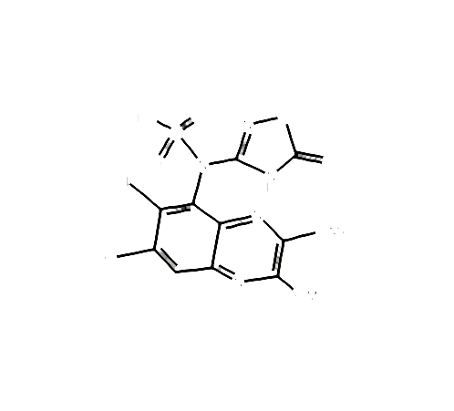 COc1nc2cc(Cl)c(Cl)c(N(c3noc(=O)[nH]3)S(C)(=O)=O)c2nc1OC